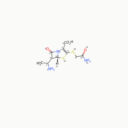 CC(N)C1C(=O)N2C(C(=O)O)=C(SCC(N)=O)S[C@H]12